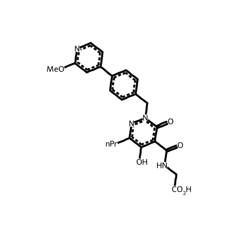 CCCc1nn(Cc2ccc(-c3ccnc(OC)c3)cc2)c(=O)c(C(=O)NCC(=O)O)c1O